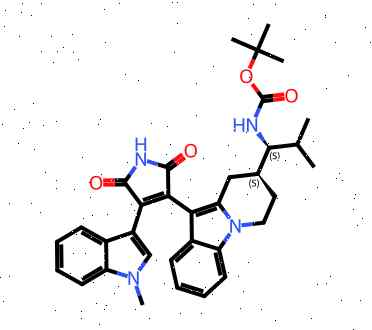 CC(C)[C@H](NC(=O)OC(C)(C)C)[C@H]1CCn2c(c(C3=C(c4cn(C)c5ccccc45)C(=O)NC3=O)c3ccccc32)C1